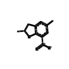 Cc1cc2c(c([N+](=O)[O-])c1)OC(C)C2